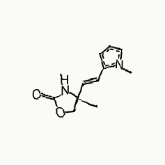 Cn1cccc1/C=C/[C@]1(C)COC(=O)N1